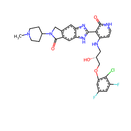 CN1CCC(N2Cc3cc4nc(-c5c(NC[C@@H](O)COc6cc(F)cc(F)c6Cl)cc[nH]c5=O)[nH]c4cc3C2=O)CC1